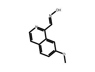 COc1ccc2ccnc(C=NO)c2c1